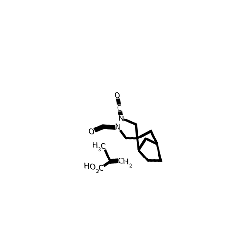 C=C(C)C(=O)O.O=C=NCC1(CN=C=O)CC2CCC1C2